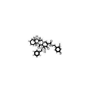 O=C(NCc1ccc(F)cc1F)C1=CN2C[C@@H]3N[C@H]4CCCC[C@@H]4N3C(=O)C2C(O)(OCc2ccccc2)C1=O